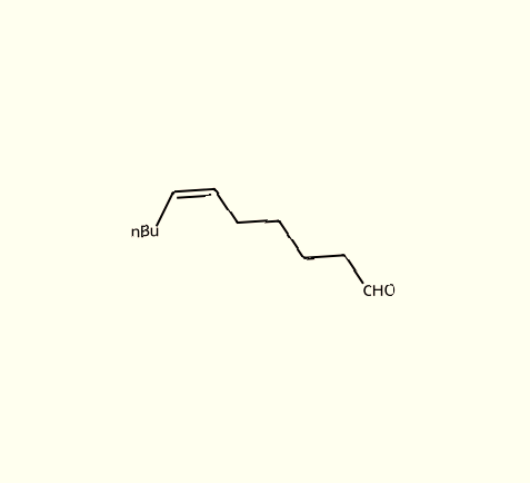 CCCC/C=C\CCCCC=O